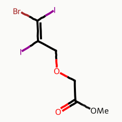 COC(=O)COCC(I)=C(Br)I